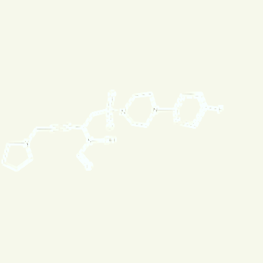 O=CN(O)C(C#CCN1CCCC1)CS(=O)(=O)N1CCN(c2ccc(F)cc2)CC1